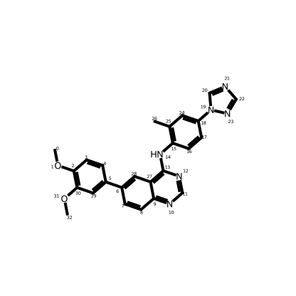 COc1ccc(-c2ccc3ncnc(Nc4ccc(-n5cncn5)cc4C)c3c2)cc1OC